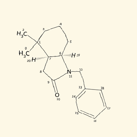 CC1(C)CCC[C@@H]2[C@H]1CC(=O)N2Cc1ccccc1